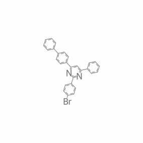 Brc1ccc(-c2nc(-c3ccccc3)cc(-c3ccc(-c4ccccc4)cc3)n2)cc1